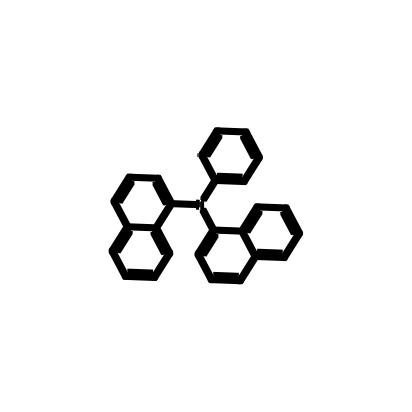 [c]1ccccc1N(c1cccc2ccccc12)c1cccc2ccccc12